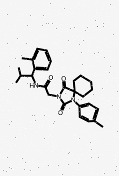 Cc1ccc(N2C(=O)N(CC(=O)NC(c3ccccc3C)C(C)C)C(=O)C23CCCCC3)cc1